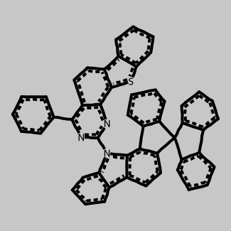 c1ccc(-c2nc(-n3c4ccccc4c4ccc5c(c43)-c3ccccc3C53c4ccccc4-c4ccccc43)nc3c2ccc2c4ccccc4sc23)cc1